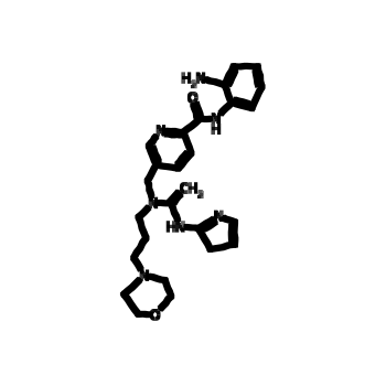 C=C(NC1=NC=CC1)N(CCCN1CCOCC1)Cc1ccc(C(=O)Nc2ccccc2N)nc1